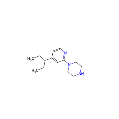 CCC(CC)c1ccnc(N2CCNCC2)c1